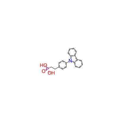 O=P(O)(O)CCc1ccc(-n2c3ccccc3c3ccccc32)cc1